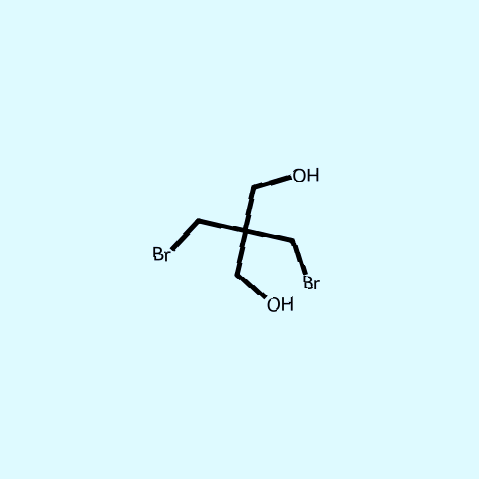 OCC(CO)(CBr)CBr